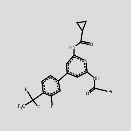 CC(C)C(=O)Nc1cc(-c2ccc(C(F)(F)C(F)(F)F)c(F)c2)cc(NC(=O)C2CC2)n1